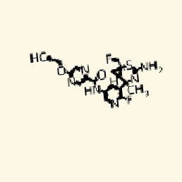 C#CCOc1cnc(C(=O)Nc2cnc(F)c([C@@]3(C)N=C(N)S[C@@]4(CF)C[C@H]43)c2)cn1